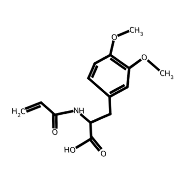 C=CC(=O)NC(Cc1ccc(OC)c(OC)c1)C(=O)O